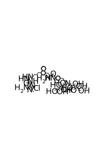 Cc1nc(N)c(C(=O)NC(=N)NCCCCc2ccc(CC(N)C(=O)Nc3ccc(CCCN(CC(O)C(O)C(O)C(O)CO)CC(O)C(O)C(O)C(O)CO)cc3)c3ccccc23)nc1Cl